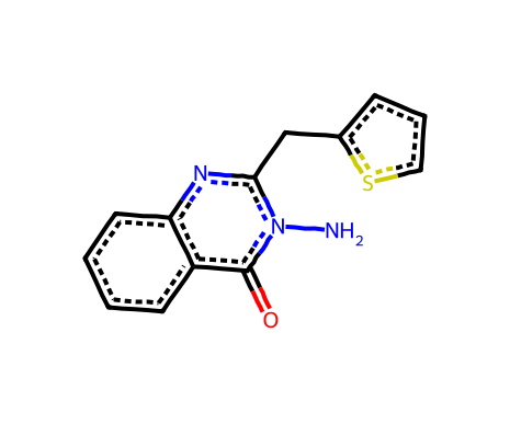 Nn1c(Cc2cccs2)nc2ccccc2c1=O